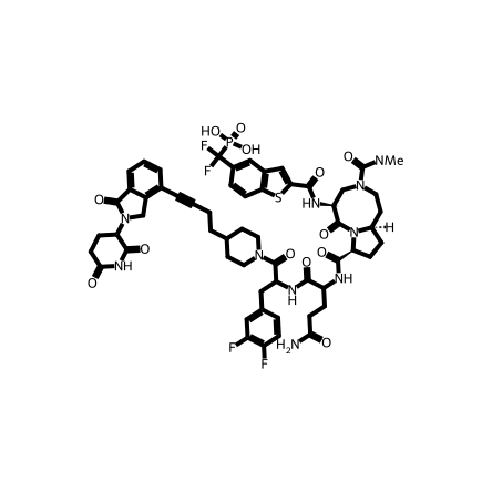 CNC(=O)N1CC[C@H]2CC[C@@H](C(=O)NC(CCC(N)=O)C(=O)NC(Cc3ccc(F)c(F)c3)C(=O)N3CCC(CCC#Cc4cccc5c4CN(C4CCC(=O)NC4=O)C5=O)CC3)N2C(=O)[C@@H](NC(=O)c2cc3cc(C(F)(F)P(=O)(O)O)ccc3s2)C1